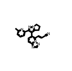 Cc1cccc(-c2nn3c(c2-c2ccc4ncnn4c2/C=C/C#N)CCC3)n1